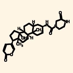 C[C@]12CC[C@H](NC(=O)N3CCNC(=O)C3)C[C@H]1CC[C@@H]1[C@@H]2CC[C@]2(C)[C@@H](c3ccc(=O)oc3)CC[C@]12O